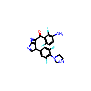 Nc1ccc(F)c(C(=O)C2=NC3=C2C(c2cc(F)c(N4CCNC4)c(F)c2)C=N3)c1F